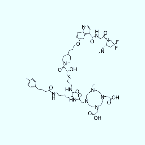 CCN1CCN(CC(=O)O)CCN(CC(=O)O)CCN(CC(=O)NC(CCCCNC(=O)CCCc2ccc(C)cc2)C(=O)NCCSC[C@@H](O)C(=O)N2CCC(CCCOc3ccc4nccc(C(=O)NCC(=O)N5CC(F)(F)C[C@@H]5/C=N/C)c4c3)CC2)CC1